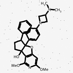 COc1cc2c(c(OC)n1)C1(O)CCC(c3ccccc3)C1(c1ccc(N3CC(N(C)C)C3)cc1)O2